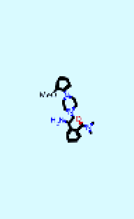 COc1ccccc1N1CCN(CC(N)c2ccccc2C(=O)N(C)C)CC1